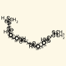 C=C(C)C(=O)OCCOC(=O)Nc1ccc(Cc2ccc(NC(=O)OCCCCOC(=O)Nc3ccc(Cc4ccc(NC(=O)OCCOC(=O)C(=C)C)cc4)cc3)cc2)cc1